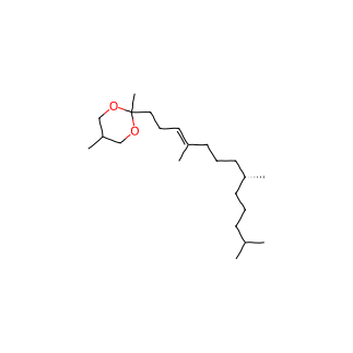 C/C(=C\CCC1(C)OCC(C)CO1)CCC[C@H](C)CCCC(C)C